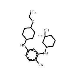 C[C@]1(O)CCC[C@@H](Nc2nc(NC3CCC(OCC(F)(F)F)CC3)ncc2C#N)C1